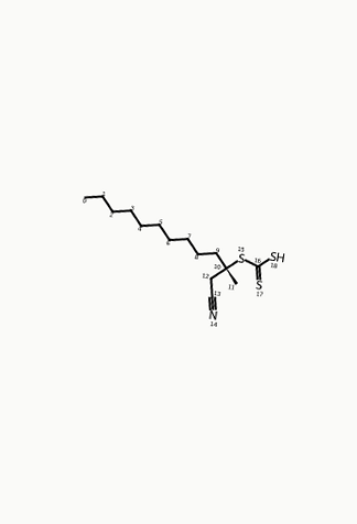 CCCCCCCCCC[C@@](C)(CC#N)SC(=S)S